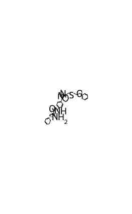 N[C@@H](Cc1ccccc1)C(=O)Nc1ccc(-c2nnc(CSCCOc3ccccc3)o2)cc1